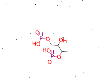 CC(O[PH](=O)O)C(O)CO[PH](=O)O